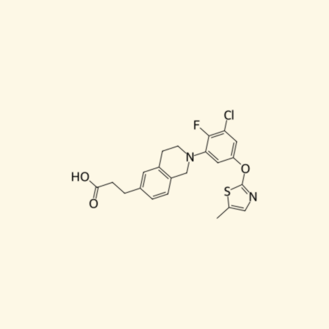 Cc1cnc(Oc2cc(Cl)c(F)c(N3CCc4cc(CCC(=O)O)ccc4C3)c2)s1